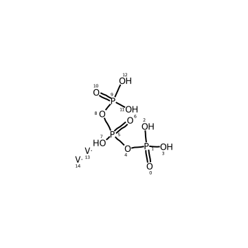 O=P(O)(O)OP(=O)(O)OP(=O)(O)O.[V].[V]